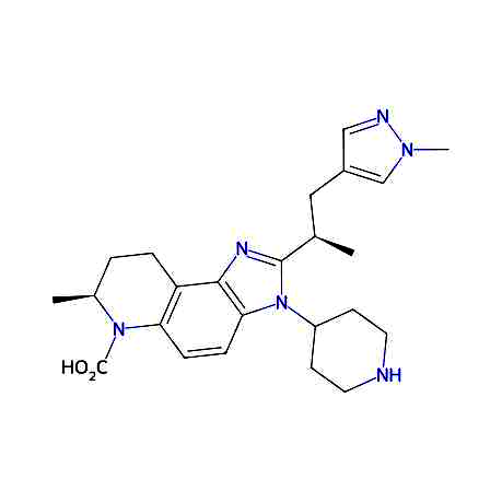 C[C@H](Cc1cnn(C)c1)c1nc2c3c(ccc2n1C1CCNCC1)N(C(=O)O)[C@@H](C)CC3